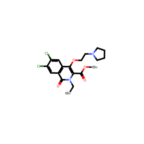 CC(C)(C)Cn1c(C(=O)OC(C)(C)C)c(OCCN2CCCC2)c2cc(Cl)c(Cl)cc2c1=O